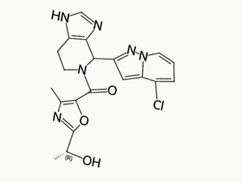 Cc1nc([C@@H](C)O)oc1C(=O)N1CCc2[nH]cnc2C1c1cc2c(Cl)cccn2n1